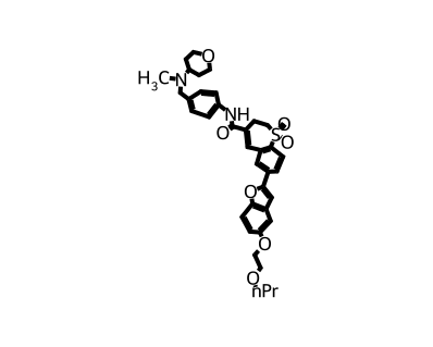 CCCOCCOc1ccc2oc(-c3ccc4c(c3)C=C(C(=O)Nc3ccc(CN(C)C5CCOCC5)cc3)CCS4(=O)=O)cc2c1